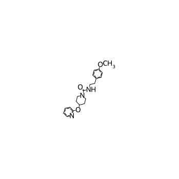 COc1ccc(CCNC(=O)N2CCC(Oc3ccccn3)CC2)cc1